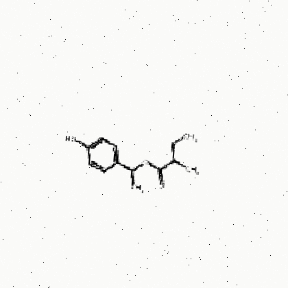 CCC(C)C(=O)OC(C)c1ccc(O)cc1